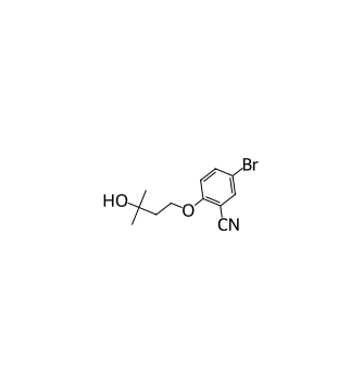 CC(C)(O)CCOc1ccc(Br)cc1C#N